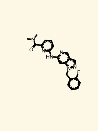 CN(C)C(=O)c1cccc(Nc2cc3c(cn2)cnn3Cc2ccccc2F)n1